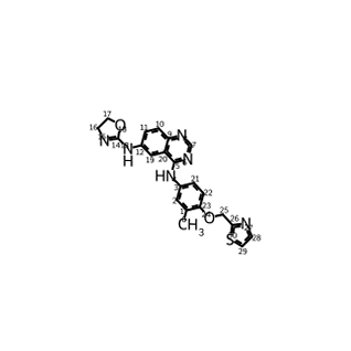 Cc1cc(Nc2ncnc3ccc(NC4=NCCO4)cc23)ccc1OCc1nccs1